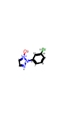 [O-][n+]1ccnn1-c1cccc(Br)c1